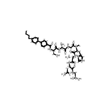 CCCCc1ccc(-c2ccc(C(=O)N[C@H](CO)C(=O)N[C@H](N)C(=O)NCC(=O)N(C)[C@@H](Cc3c[nH]cn3)C(=O)N[C@@H](N)C(=O)N[C@@H](CC(N)=O)C(=O)NCB(O)O)cc2)cc1